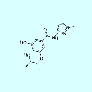 C[C@@H](O)[C@@H](C)Oc1cc(O)cc(C(=O)Nc2ccn(C)n2)c1